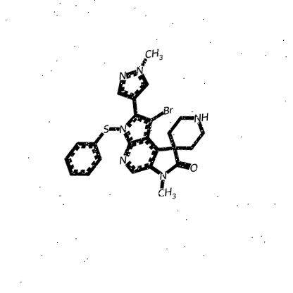 CN1C(=O)C2(CCNCC2)c2c1cnc1c2c(Br)c(-c2cnn(C)c2)n1Sc1ccccc1